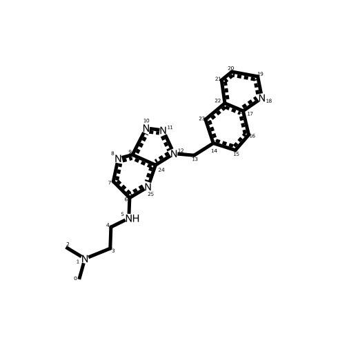 CN(C)CCNc1cnc2nnn(Cc3ccc4ncccc4c3)c2n1